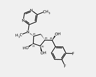 Cc1cc(N(C)[C@@H]2C[C@H]([C@@H](O)c3ccc(F)c(F)c3)[C@@H](O)[C@H]2O)ncn1